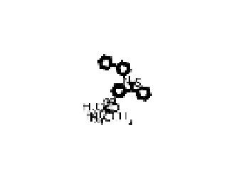 CC1(C)OB(c2ccc3c(c2)c2c4ccccc4sc2n3-c2cccc(-c3ccccc3)c2)OC1(C)C